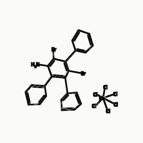 Nc1c(Br)c(-c2ccccc2)c(Br)c(-c2ccccc2)c1-c1ccccc1.[Cl][Sb-]([Cl])([Cl])([Cl])([Cl])[Cl]